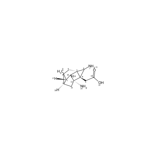 C[C@H]1[C@@H]2CC[C@]34C(N)[C@]3(CC(=O)O)[C@@](N)(C2)[C@@H]14